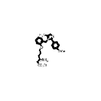 CCOC(=O)C[C@H](N)CCCOc1ccccc1Cn1c(C)cnc1-c1ccc(SC)cc1